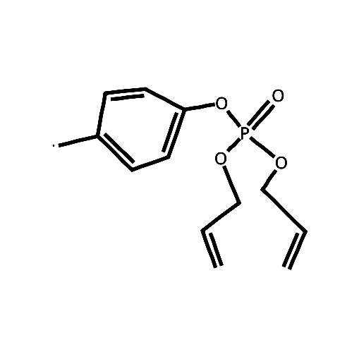 [CH2]c1ccc(OP(=O)(OCC=C)OCC=C)cc1